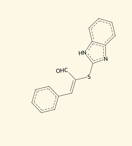 O=C/C(=C\c1ccccc1)Sc1nc2ccccc2[nH]1